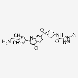 CC(C)(CN)c1ccc(-c2cc(Cl)c3ccc(C(=O)N4CCC(NC(=O)c5cn(C6CC6)nn5)CC4)cc3n2)cc1